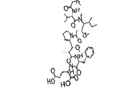 CC[C@H](C)[C@@H]([C@@H](CC(=O)N1CCCC1[C@H](OC)[C@@H](C)C(=O)N[C@@H](Cc1ccccc1)C(=O)NC(CCC(=O)O)C(=O)O)OC)N(C)C(=O)[C@@H](NC(=O)[C@H](C(C)C)N(C)C)C(C)C